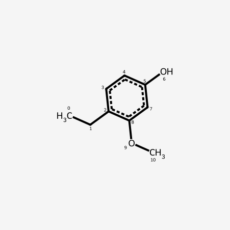 CCc1ccc(O)cc1OC